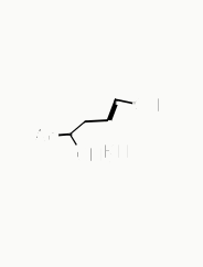 CC=CCC(C)C(C)=O.[KH]